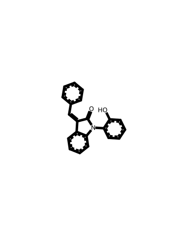 O=C1C(=Cc2ccccc2)c2ccccc2N1c1ccccc1O